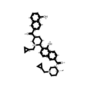 C[C@@H]1CCN(CC2CC2)C[C@@H]1C(=O)c1ccc2c(O)c(C3CCC(C(=O)c4ccc5c(O)cccc5c4)CN3CC3CC3)ccc2c1